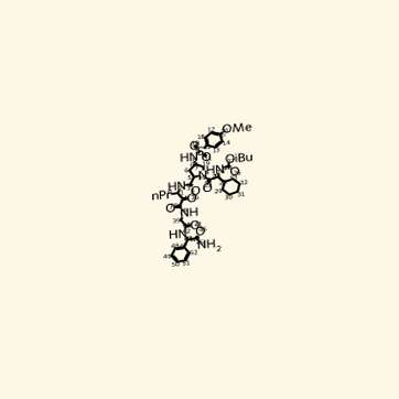 CCCC(NC(=O)C1C[C@@H](NS(=O)(=O)c2ccc(OC)cc2)CN1C(=O)[C@H](NC(=O)OCC(C)C)C1CCCCC1)C(=O)C(=O)NCC(=O)N[C@@H](C(N)=O)c1ccccc1